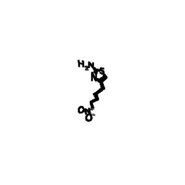 Nc1nc(CCCCC[N+](=O)[O-])cs1